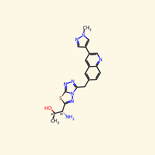 C[C@@H](O)[C@@H](N)c1nn2c(Cc3ccc4ncc(-c5cnn(C)c5)cc4c3)nnc2s1